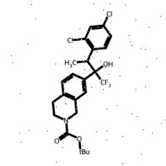 CC(c1ccc(Cl)cc1Cl)C(O)(c1ccc2c(c1)CN(C(=O)OC(C)(C)C)CC2)C(F)(F)F